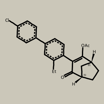 CCc1cc(-c2ccc(Cl)cc2)ccc1C1=C(OC(C)=O)[C@@H]2CC[C@@H](C2)C1=O